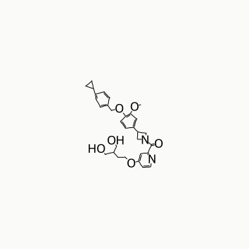 COc1cc(C2CN(C(=O)c3cc(OCCC(CO)CO)ccn3)C2)ccc1OCc1ccc(C2CC2)cc1